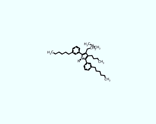 CCCCCCc1cccc(C2=C(CC)C(CCCC)=C(c3cccc(CCCCCC)c3)[N+]2=[N-])c1.[CH3][Ni][CH3]